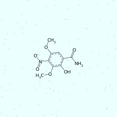 COc1cc(C(N)=O)c(O)c(OC)c1[N+](=O)[O-]